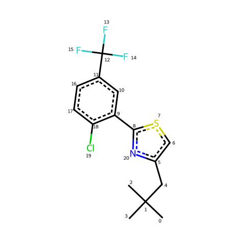 CC(C)(C)Cc1csc(-c2cc(C(F)(F)F)ccc2Cl)n1